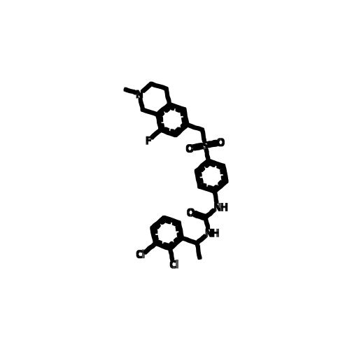 CC(NC(=O)Nc1ccc(S(=O)(=O)Cc2cc(F)c3c(c2)CCN(C)C3)cc1)c1cccc(Cl)c1Cl